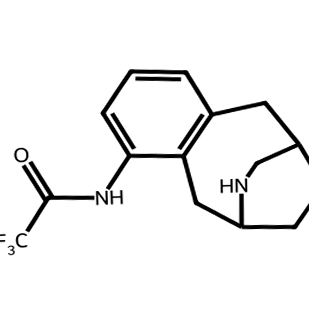 O=C(Nc1cccc2c1CC1CCC(CN1)C2)C(F)(F)F